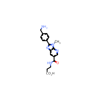 Cn1c(-c2ccc(CN)cc2)nc2cc(C(=O)NCCC(=O)O)cnc21